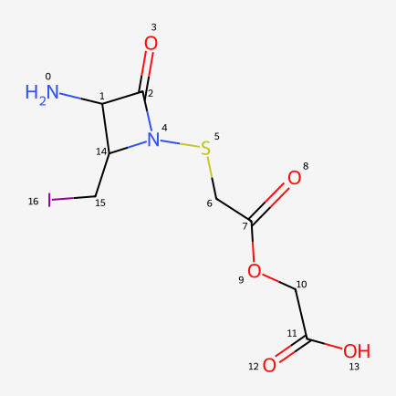 NC1C(=O)N(SCC(=O)OCC(=O)O)C1CI